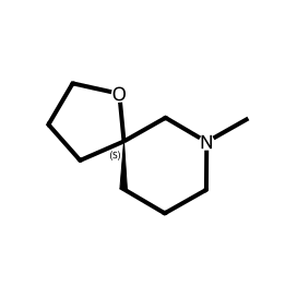 CN1CCC[C@]2(CCCO2)C1